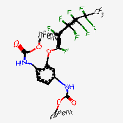 CCCCCOC(=O)Nc1ccc(NC(=O)OCCCCC)c(OC(F)=C(F)C(F)(F)C(F)(F)C(F)(F)C(F)(F)F)c1